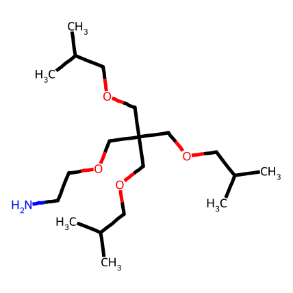 CC(C)COCC(COCCN)(COCC(C)C)COCC(C)C